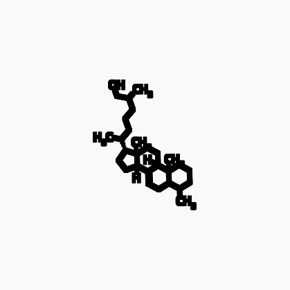 CC(CO)CCCC(C)[C@H]1CC[C@H]2C3=CCC4C(C)CCC[C@]4(C)[C@H]3CC[C@]12C